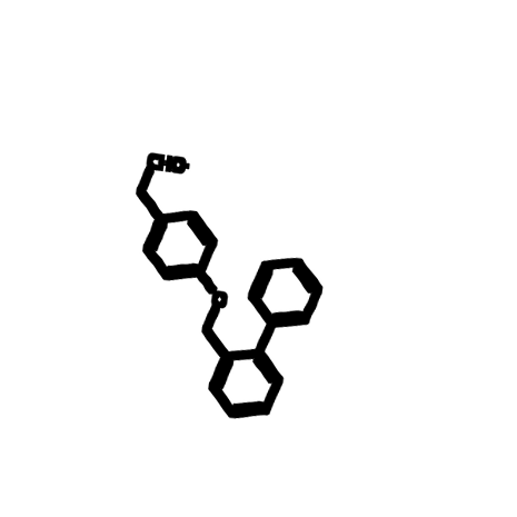 O=[C]Cc1ccc(OCc2ccccc2-c2ccccc2)cc1